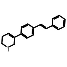 C(=Cc1ccc(C2=CCCNC2)cc1)c1ccccc1